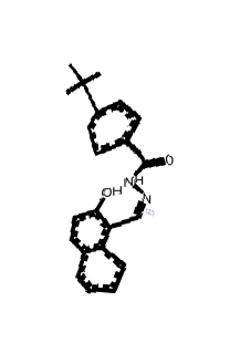 CC(C)(C)c1ccc(C(=O)N/N=C\c2c(O)ccc3ccccc23)cc1